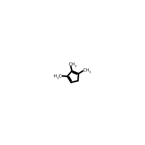 CC1=CCC(C)=C1C